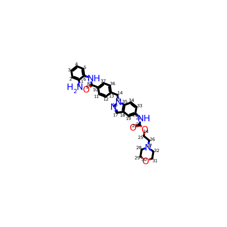 Nc1ccccc1NC(=O)c1ccc(Cn2ncc3cc(NC(=O)OCCN4CCOCC4)ccc32)cc1